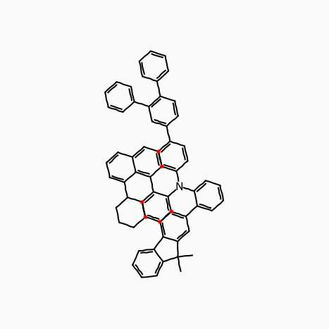 CC1(C)c2ccccc2-c2ccc(-c3ccccc3N(c3ccc(-c4ccc(-c5ccccc5)c(-c5ccccc5)c4)cc3)c3ccccc3-c3cccc4cccc(C5CCCCC5)c34)cc21